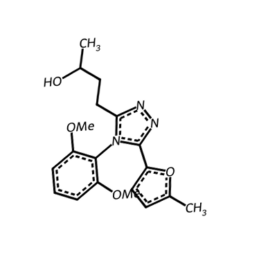 COc1cccc(OC)c1-n1c(CCC(C)O)nnc1-c1ccc(C)o1